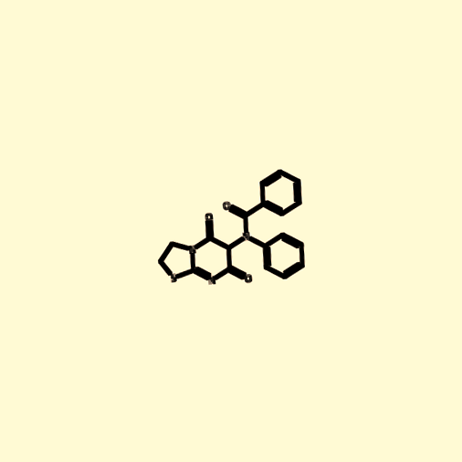 O=C1N=C2SCCN2C(=O)C1N(C(=O)c1ccccc1)c1ccccc1